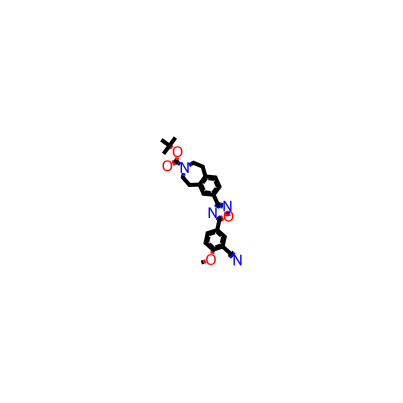 COc1ccc(-c2nc(-c3ccc4c(c3)CCN(C(=O)OC(C)(C)C)CC4)no2)cc1C#N